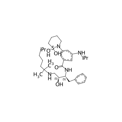 CC(C)CCCC(C)(C)NC[C@H](O)[C@H](Cc1ccccc1)NC(=O)c1cc(NC(C)C)cc(N2CCCCS2(O)O)c1